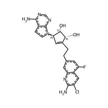 Nc1nc2cc(CCC3=C[C@@H](n4ccc5c(N)ncnc54)[C@H](O)[C@@H]3O)cc(F)c2cc1Cl